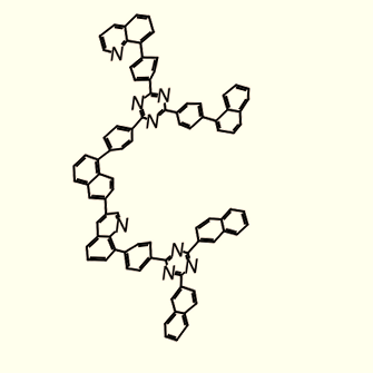 c1ccc2cc(-c3nc(-c4ccc(-c5cccc6cc(-c7ccc8c(-c9ccc(-c%10nc(-c%11ccc(-c%12cccc%13ccccc%12%13)cc%11)nc(-c%11ccc(-c%12cccc%13cccnc%12%13)cc%11)n%10)cc9)cccc8c7)cnc56)cc4)nc(-c4ccc5ccccc5c4)n3)ccc2c1